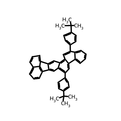 CC(C)(C)c1ccc(-c2cc3c4cc5c(cc4c(-c4ccc(C(C)(C)C)cc4)cc3c3ccccc23)-c2cccc3cccc-5c23)cc1